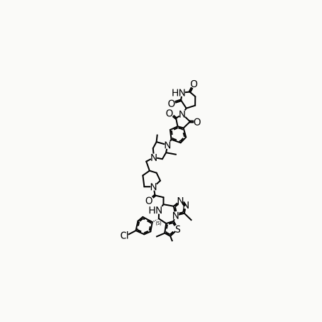 Cc1sc2c(c1C)[C@H](c1ccc(Cl)cc1)NC(CC(=O)N1CCC(CN3CC(C)N(c4ccc5c(c4)C(=O)N(C4CCC(=O)NC4=O)C5=O)C(C)C3)CC1)c1nnc(C)n1-2